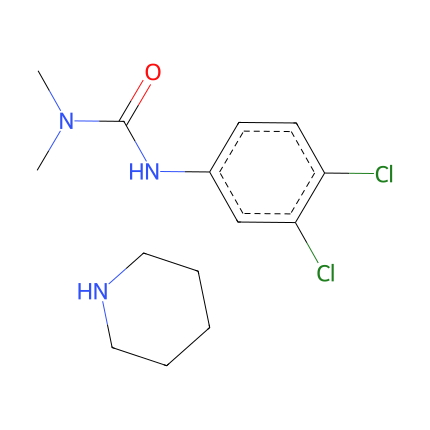 C1CCNCC1.CN(C)C(=O)Nc1ccc(Cl)c(Cl)c1